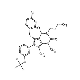 Cc1c2c(n(Cc3ccc(Cl)cc3)c1-c1cccc(OC(F)(F)F)c1)C(O)N(CCCO)C(=O)N2C